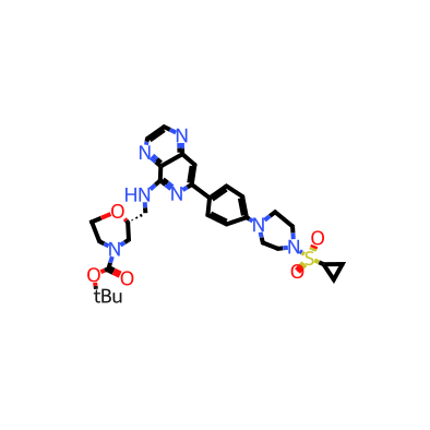 CC(C)(C)OC(=O)N1CCO[C@H](CNc2nc(-c3ccc(N4CCN(S(=O)(=O)C5CC5)CC4)cc3)cc3nccnc23)C1